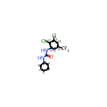 O=C(Nc1ccccc1)Nc1cc(C(F)(F)F)cc(Cl)c1Cl